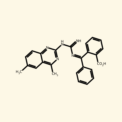 Cc1ccc2nc(NC(=N)N=C(c3ccccc3)c3ccccc3C(=O)O)nc(C)c2c1